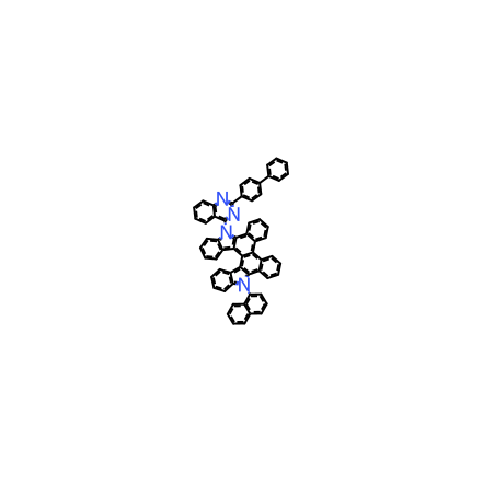 c1ccc(-c2ccc(-c3nc(-n4c5ccccc5c5c6c(c7ccccc7c7c6c6ccccc6n7-c6cccc7ccccc67)c6ccccc6c54)c4ccccc4n3)cc2)cc1